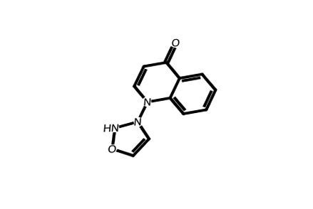 O=c1ccn(N2C=CON2)c2ccccc12